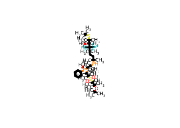 CC(C)(C)OC(C)(C)C(C)(C)S(=O)(=O)C(C)(C)C(C)(C)P(=O)(c1ccccc1)C(C)(C)C(C)(C)PC(C)(C)CCC(C)(C)C(C(F)(F)F)(C(F)(F)F)C(C)(C)C(C)(C)SC(C)(C)C